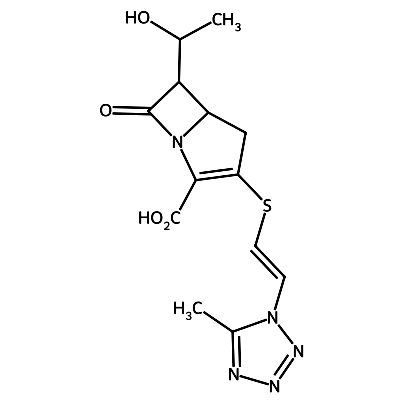 Cc1nnnn1C=CSC1=C(C(=O)O)N2C(=O)C(C(C)O)C2C1